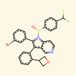 [O-][S+](c1ccc(C(F)F)cc1)n1c(-c2cccc(Br)c2)c(-c2ccccc2C2COC2)c2cnccc21